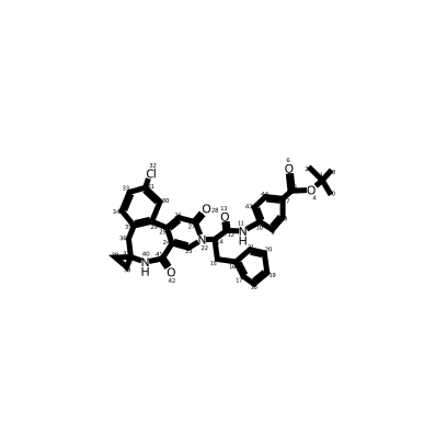 CC(C)(C)OC(=O)c1ccc(NC(=O)C(Cc2ccccc2)n2cc3c(cc2=O)-c2cc(Cl)ccc2CC2(CC2)NC3=O)cc1